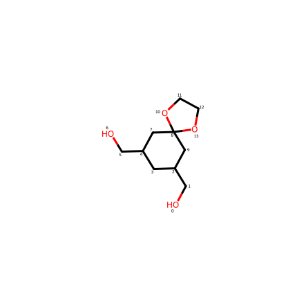 OCC1CC(CO)CC2(C1)OCCO2